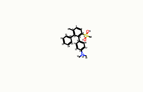 Cc1ccc(S(C)(=O)=O)c(-c2ccc(N(C)C)cc2)c1-c1ccccc1